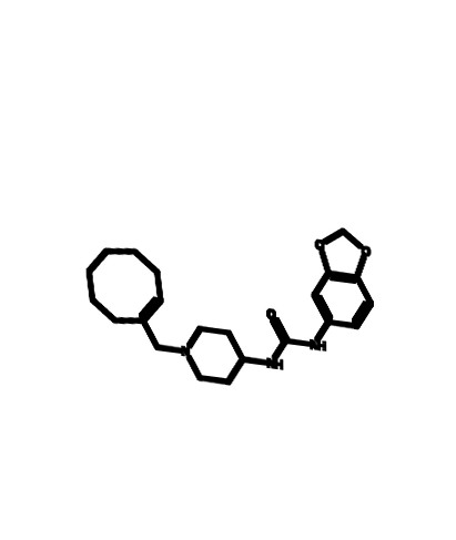 O=C(Nc1ccc2c(c1)OCO2)NC1CCN(C/C2=C/CCCCCC2)CC1